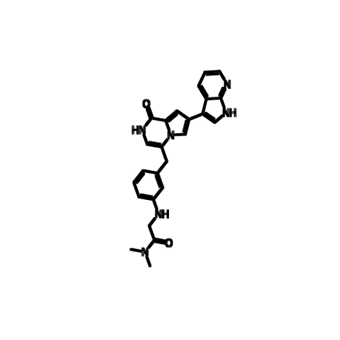 CN(C)C(=O)CNc1cccc(Cc2c[nH]c(=O)c3cc(-c4c[nH]c5ncccc45)cn23)c1